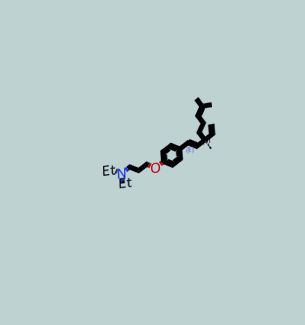 C=C[C@@](C)(/C=C/c1ccc(OCCCN(CC)CC)cc1)CCC=C(C)C